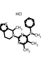 Cc1nc(N2CCc3ccsc3C2C)nc(N(C)c2ccccc2)c1C.Cl